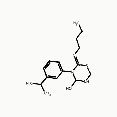 CCCC/N=C1\SCNC(O)N1c1cccc(C(C)C)c1